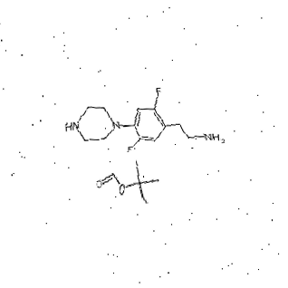 CC(C)(C)OC=O.NCCc1cc(F)c(N2CCNCC2)cc1F